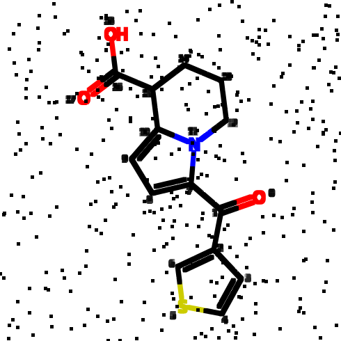 O=C(c1ccsc1)c1ccc2n1CCCC2C(=O)O